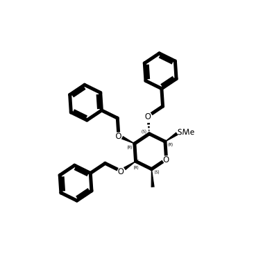 CS[C@H]1O[C@@H](C)[C@@H](OCc2ccccc2)[C@@H](OCc2ccccc2)[C@@H]1OCc1ccccc1